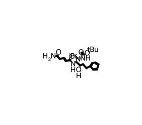 CC(C)N(NC(=O)OC(C)(C)C)C(NC(=O)C=CCC(N)=O)[C@@H](O)CCc1ccccc1